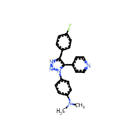 CN(C)c1ccc(-n2nnc(-c3ccc(F)cc3)c2-c2ccncc2)cc1